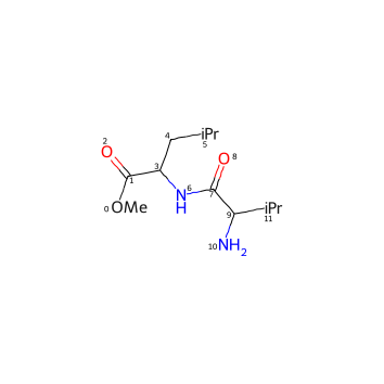 COC(=O)C(CC(C)C)NC(=O)C(N)C(C)C